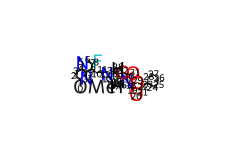 COc1ccc2ncc(F)c(CCN3CC[C@H]4CN(C5=COC=C(C6=CC=CCC6)O5)C(=O)O[C@@H]4C3)c2n1